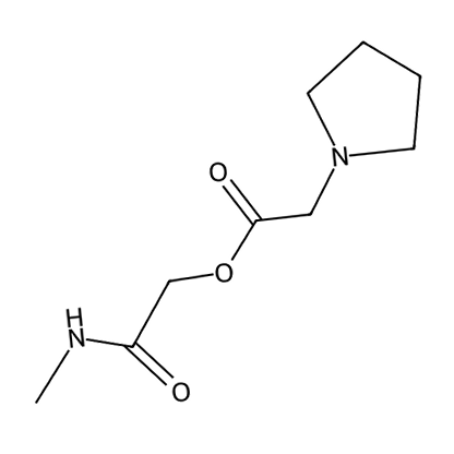 CNC(=O)COC(=O)CN1CCCC1